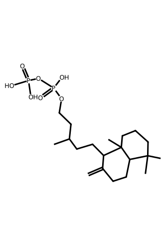 C=C1CCC2C(C)(C)CCCC2(C)C1CCC(C)CCOP(=O)(O)OP(=O)(O)O